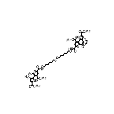 COC(=O)c1cc(C)c(-c2c(C(=O)OC)cc(C(=O)NOCCCCCCSSCCCCCCONC(=O)c3cc(C(=O)OC)c4c(n3)C(=O)C3(OCCO3)c3cc(C(=O)OC)[nH]c3-4)nc2C(C)=O)[nH]1